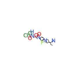 CCC(C#N)=C1CCN(c2ccc(N3CC(CNC(=O)C(Cl)Cl)OC3=O)cc2F)CC1